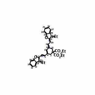 CCOC(=O)C1(C(=O)OCC)CC(/C=C/c2oc3ccccc3[n+]2CC)=CC(=C/C=C2\Oc3ccccc3N2CC)/C1